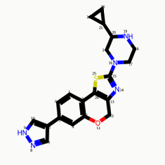 c1cc2c(cc1-c1cn[nH]c1)OCc1nc(N3CCNC(C4CC4)C3)sc1-2